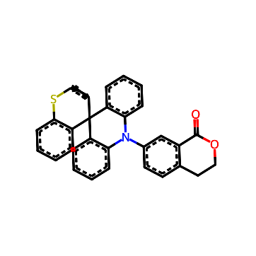 O=C1OCCc2ccc(N3c4ccccc4C4(c5ccccc5Sc5ccccc54)c4ccccc43)cc21